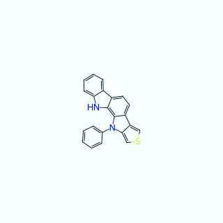 c1ccc(-n2c3cscc3c3ccc4c5ccccc5[nH]c4c32)cc1